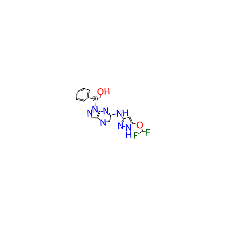 OC[C@@H](c1ccccc1)n1ncc2ncc(Nc3cc(OC(F)F)[nH]n3)nc21